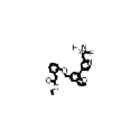 CCOC(=O)Cc1ccccc1OCc1cc(-c2ccnc(C[C@@H](N)F)c2)c2occc2c1